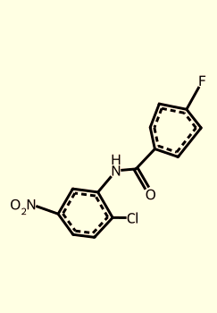 O=C(Nc1cc([N+](=O)[O-])ccc1Cl)c1ccc(F)cc1